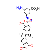 Nc1cc(N)cc(C(=O)O)c1.O=C1OC(=O)c2cc(C(c3ccc4c(c3)C(=O)OC4=O)(C(F)(F)F)C(F)(F)F)ccc21